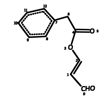 O=CC=COC(=O)Cc1ccccc1